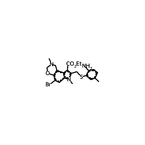 CCOC(=O)c1c(CSc2cc(C)ccc2N)n(C)c2cc(Br)c3c(c12)CN(C)CO3